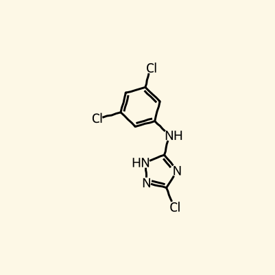 Clc1cc(Cl)cc(Nc2nc(Cl)n[nH]2)c1